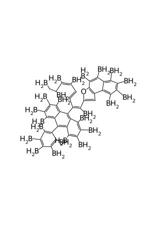 BCC(B)\C(B)=C(B)/C=C/C(=C(/B)c1cc2c(o1)c(B)c(B)c1c(B)c(B)c(B)c(B)c12)c1c2c(B)c(B)c(B)c(B)c2c(-c2c(B)c(B)c(B)c(B)c2B)c2c(B)c(B)c(B)c(B)c12